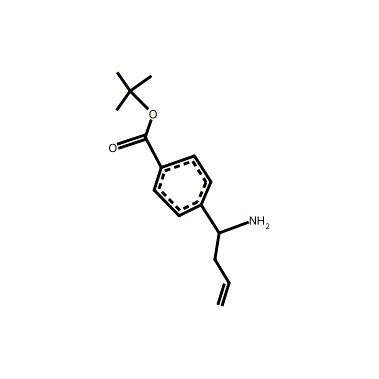 C=CCC(N)c1ccc(C(=O)OC(C)(C)C)cc1